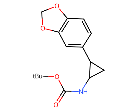 CC(C)(C)OC(=O)NC1CC1c1ccc2c(c1)OCO2